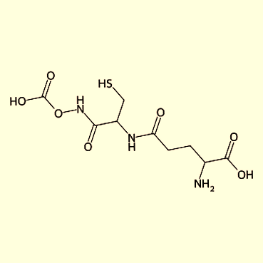 NC(CCC(=O)NC(CS)C(=O)NOC(=O)O)C(=O)O